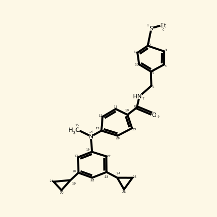 CCSc1ccc(CNC(=O)c2ccc(N(C)c3cc(C4CC4)cc(C4CC4)c3)cc2)cc1